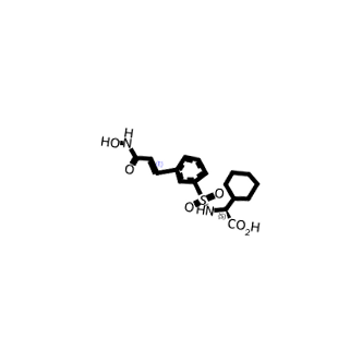 O=C(/C=C/c1cccc(S(=O)(=O)N[C@H](C(=O)O)C2CCCCC2)c1)NO